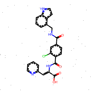 O=C(O)/C(=C/c1ccccn1)NC(=O)c1ccc(C(=O)NCc2cccc3[nH]ccc23)cc1Cl